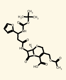 CC(=O)OCC1=C(C(=O)O)N2C(=O)C(NC(=O)CC(NC(=O)OC(C)(C)C)c3ccco3)[C@H]2SC1